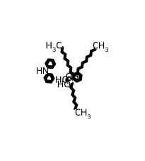 CCCCCCCCCc1cccc(P(O)(O)(O)CCCCCCCCC)c1CCCCCCCCC.c1ccc(Nc2ccccc2)cc1